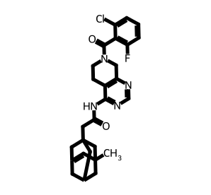 CC12C=C3CC(C1)CC(CC(=O)Nc1ncnc4c1CCN(C(=O)c1c(F)cccc1Cl)C4)(C3)C2